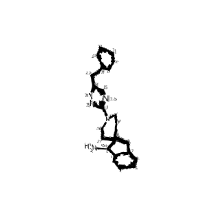 N[C@@H]1c2ccccc2CC12CCN(c1ncc(Cc3ccccc3)nn1)CC2